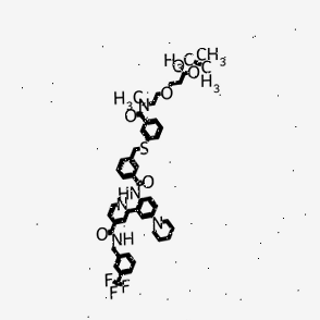 CN(CCOCCC(=O)OC(C)(C)C)C(=O)c1cccc(SCc2cccc(C(=O)Nc3ccc(N4CCCCC4)cc3-c3cc(C(=O)NCc4cccc(C(F)(F)F)c4)ccn3)c2)c1